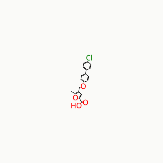 Cc1oc(C(=O)O)cc1COc1ccc(-c2ccc(Cl)cc2)cc1